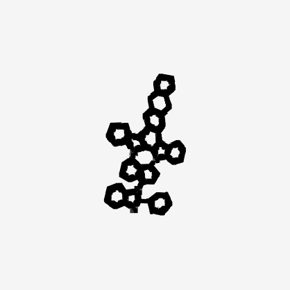 c1ccc(-c2nc3ccccc3n2-c2ccc(-n3c4ccccc4c4c5cc6c(cc5c5c7ccccc7n(-c7ccccc7)c5c43)Cc3ccccc3C6)cc2)cc1